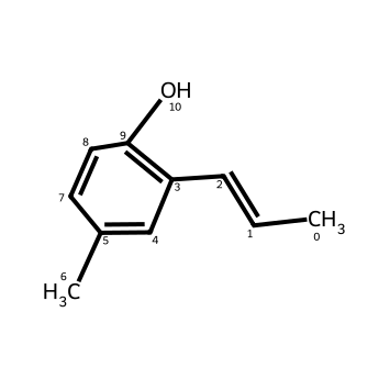 CC=Cc1cc(C)ccc1O